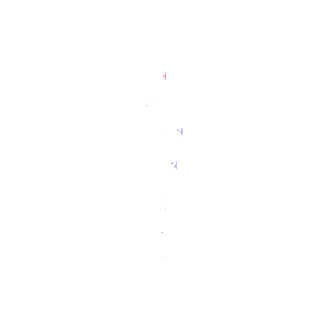 OCCCC[n+]1ccc(CCO)nc1